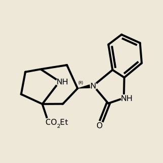 CCOC(=O)C12CCC(C[C@@H](n3c(=O)[nH]c4ccccc43)C1)N2